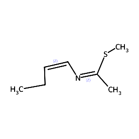 CC/C=C\N=C(\C)SC